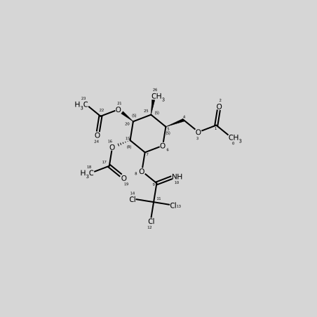 CC(=O)OC[C@H]1OC(OC(=N)C(Cl)(Cl)Cl)[C@H](OC(C)=O)[C@@H](OC(C)=O)[C@H]1C